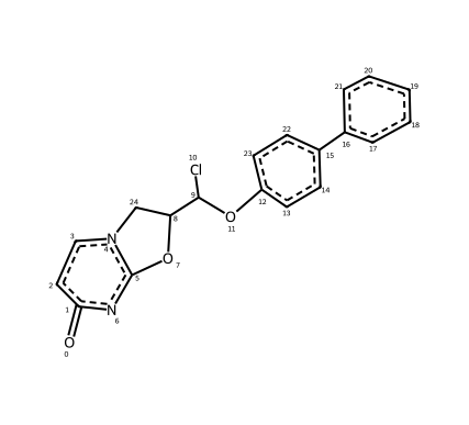 O=c1ccn2c(n1)OC(C(Cl)Oc1ccc(-c3ccccc3)cc1)C2